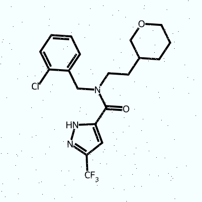 O=C(c1cc(C(F)(F)F)n[nH]1)N(CCC1CCCOC1)Cc1ccccc1Cl